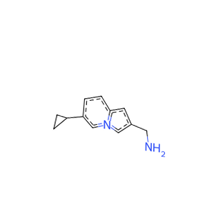 NCc1cc2ccc(C3CC3)cn2c1